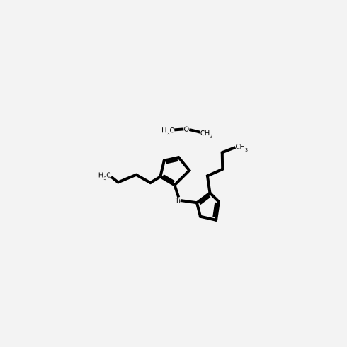 CCCCC1=[C]([Ti][C]2=C(CCCC)C=CC2)CC=C1.COC